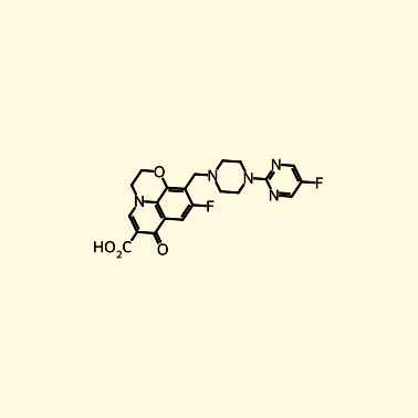 O=C(O)c1cn2c3c(c(CN4CCN(c5ncc(F)cn5)CC4)c(F)cc3c1=O)OCC2